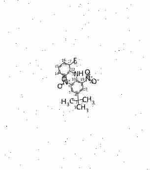 CC(C)(C)c1cc([N+](=O)[O-])c(Nc2ccccc2F)c([N+](=O)[O-])c1